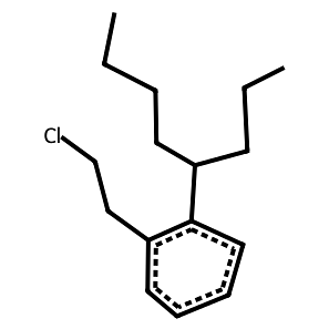 CCCCC(CCC)c1ccccc1CCCl